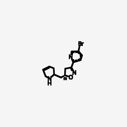 Brc1ccc(C2=NO[C@@H](CC3CC=CCN3)C2)nc1